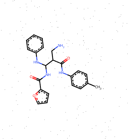 Cc1ccc(NC(=O)C(CN)C(NC(=O)c2ccco2)Nc2ccccc2)cc1